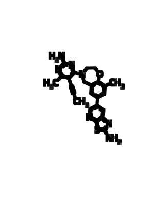 CC#Cc1c(C)nc(N)nc1N1CCOc2c(C)cc(-c3cnc4sc(N)nc4c3)cc2C1